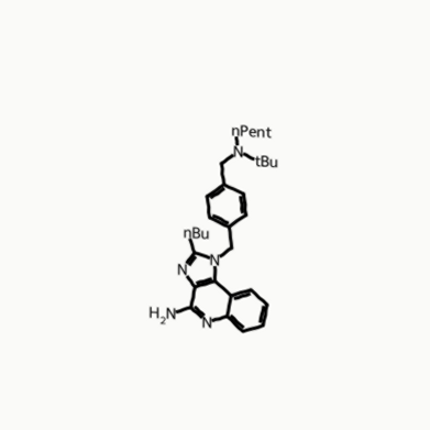 CCCCCN(Cc1ccc(Cn2c(CCCC)nc3c(N)nc4ccccc4c32)cc1)C(C)(C)C